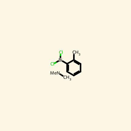 CNC.Cc1cccc[c]1[Bi]([Cl])[Cl]